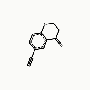 C#Cc1ccc2c(c1)C(=O)CCS2